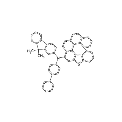 CC1(C)c2ccccc2-c2ccc(N(c3ccc(-c4ccccc4)cc3)c3cc4sc5cccc6c5c4c4c3ccc3ccc5cccc-6c5c34)cc21